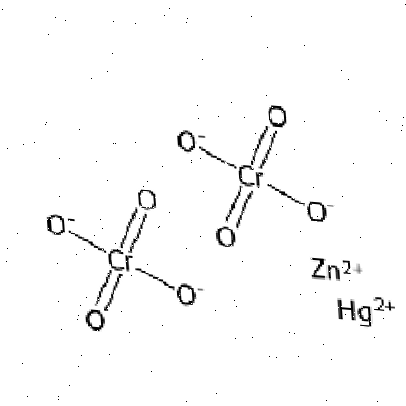 [Hg+2].[O]=[Cr](=[O])([O-])[O-].[O]=[Cr](=[O])([O-])[O-].[Zn+2]